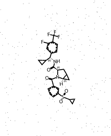 O=C(N[C@@H](c1ccc(C(F)(F)F)c(F)c1)C1CC1)[C@H]1CC2C[C@H]2N1C(=O)c1cccc(S(=O)(=O)C2CC2)c1